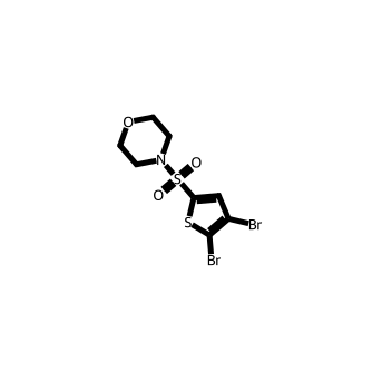 O=S(=O)(c1cc(Br)c(Br)s1)N1CCOCC1